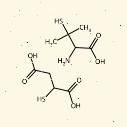 CC(C)(S)C(N)C(=O)O.O=C(O)CC(S)C(=O)O